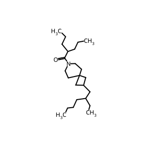 CCCCC(CC)CC1CC2(CCN(C(=O)C(CCC)CCC)CC2)C1